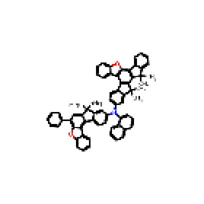 CCCCCCCC1(CCCCCCC)c2cc(N(c3ccc4c(c3)C(C)(C)c3c5c(c6oc7ccccc7c6c3-4)-c3ccccc3C5(C)C)c3cccc4ccccc34)ccc2-c2c1cc(-c1ccccc1)c1oc3ccccc3c21